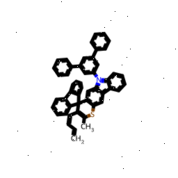 C=C/C=C\C1=C(C)Sc2cc3c4ccccc4n(-c4cc(-c5ccccc5)cc(-c5ccccc5)c4)c3cc2C12c1ccccc1-c1ccccc12